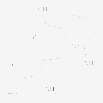 N[C@@H](Cc1c[nH]c2cccc(C(=O)O)c12)C(=O)O